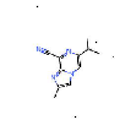 Cc1cn2cc(C(C)C)nc(C#N)c2n1